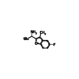 Cc1c(C(N)C(C)(C)C)oc2ccc(F)cc12